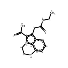 CCOC(=O)Cc1c(C(=O)O)n2c3c(cccc13)SCC2